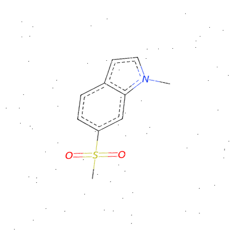 Cn1ccc2ccc(S(C)(=O)=O)cc21